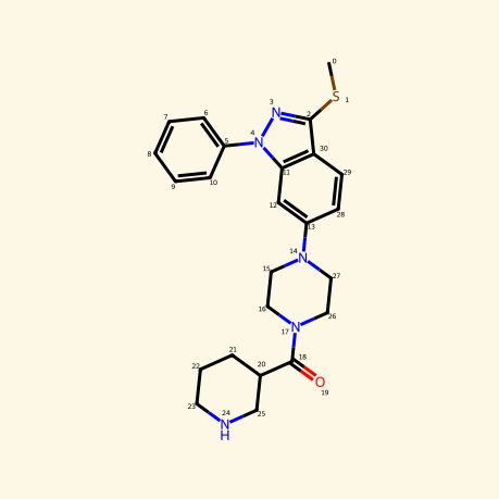 CSc1nn(-c2ccccc2)c2cc(N3CCN(C(=O)C4CCCNC4)CC3)ccc12